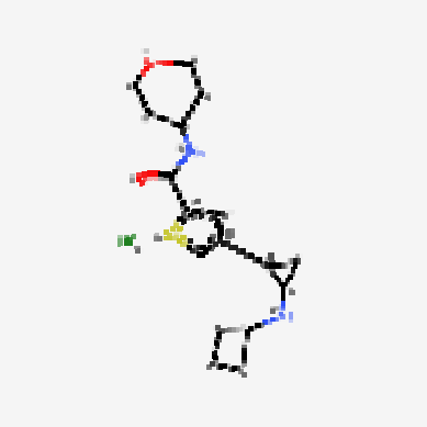 Cl.O=C(NC1CCOCC1)c1cc(C2CC2NC2CCC2)cs1